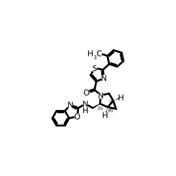 Cc1ccccc1-c1nc(C(=O)N2C[C@H]3C[C@H]3[C@H]2CNc2nc3ccccc3o2)cs1